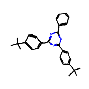 CC(C)(C)c1ccc(-c2nc(-c3ccccc3)nc(-c3ccc(C(C)(C)C)cc3)n2)cc1